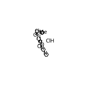 COC(=O)[C@H](c1ccccc1Cl)N1CCc2sc(OC(=O)N3CCC(N4CCCCC4)CC3)cc2C1.Cl